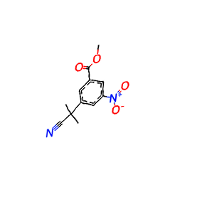 COC(=O)c1cc([N+](=O)[O-])cc(C(C)(C)C#N)c1